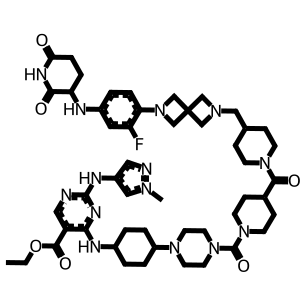 CCOC(=O)c1cnc(Nc2cnn(C)c2)nc1NC1CCC(N2CCN(C(=O)N3CCC(C(=O)N4CCC(CN5CC6(C5)CN(c5ccc(NC7CCC(=O)NC7=O)cc5F)C6)CC4)CC3)CC2)CC1